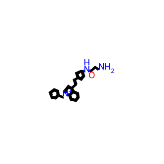 NCCC(=O)Nc1ccc(C=Cc2cc[n+](Cc3ccccc3)c3ccccc23)cc1